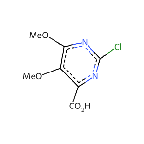 COc1nc(Cl)nc(C(=O)O)c1OC